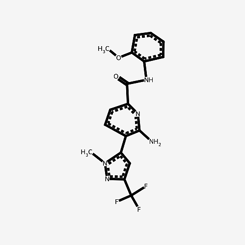 COc1ccccc1NC(=O)c1ccc(-c2cc(C(F)(F)F)nn2C)c(N)n1